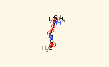 CCOC(=O)C1CCC(N2CCN(C(=O)CCOCCOCCNC(=O)OC(C)(C)C)CC2)CC1